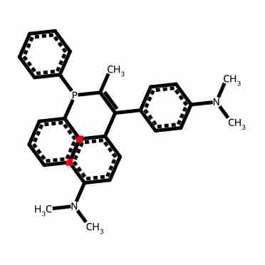 CC(=C(c1ccc(N(C)C)cc1)c1ccc(N(C)C)cc1)P(c1ccccc1)c1ccccc1